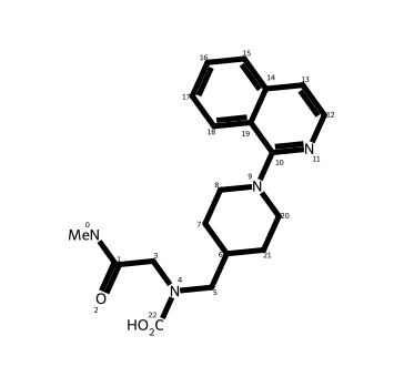 CNC(=O)CN(CC1CCN(c2nccc3ccccc23)CC1)C(=O)O